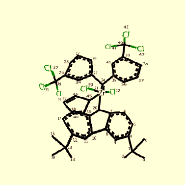 CC(C)(C)c1ccc2c(c1)-c1cc(C(C)(C)C)ccc1[CH]2[Zr]([Cl])([Cl])(=[C](c1cccc(C(Cl)(Cl)Cl)c1)c1cccc(C(Cl)(Cl)Cl)c1)[CH]1C=CC=C1